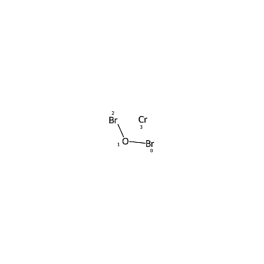 BrOBr.[Cr]